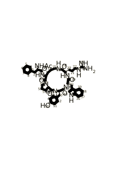 CC(=O)N[C@@H](Cc1ccccc1)C(=O)NC1CCCNC(=O)[C@H](CCCNC(=N)N)NC(=O)[C@H](Cc2c[nH]c3ccccc23)NC(=O)[C@@H](Cc2ccc(O)cc2)NC(=O)[C@@H]2CCCN2C1=O